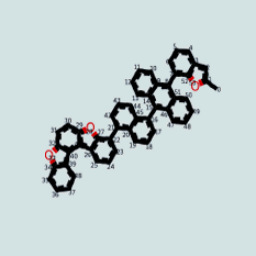 Cc1cc2cccc(-c3c4ccccc4c(-c4cccc5c(-c6cccc7c6oc6ccc8oc9ccccc9c8c67)cccc45)c4ccccc34)c2o1